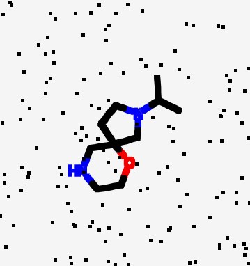 CC(C)N1CCC2(CNCCO2)C1